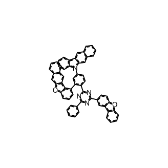 c1ccc(-c2nc(-c3ccc4oc5ccccc5c4c3)nc(-c3ccc(-n4c5ccccc5c5cc6ccccc6cc54)cc3-c3cccc4oc5cc6ccccc6cc5c34)n2)cc1